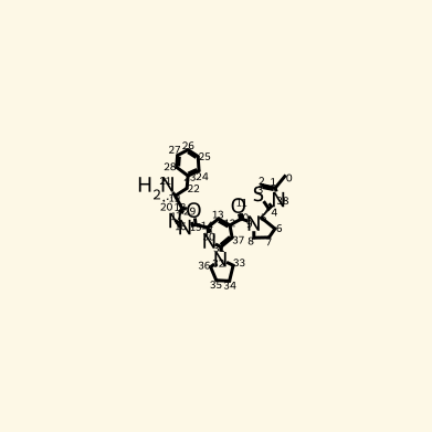 Cc1csc([C@H]2CCCN2C(=O)c2cc(-c3nnc([C@@](C)(N)Cc4ccccc4)o3)nc(N3CCCC3)c2)n1